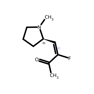 CC(=O)/C(F)=C\[C@H]1CCCN1C